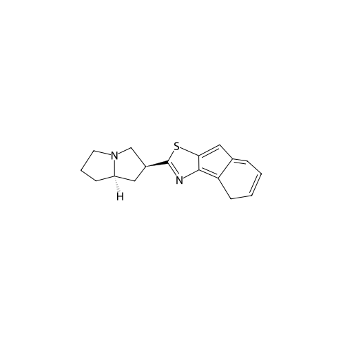 C1=CCC2=c3nc([C@H]4C[C@H]5CCCN5C4)sc3=CC2=C1